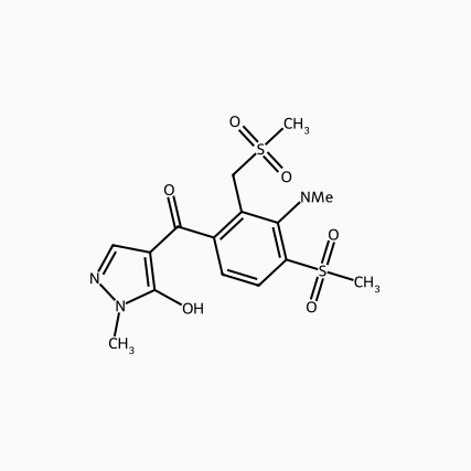 CNc1c(S(C)(=O)=O)ccc(C(=O)c2cnn(C)c2O)c1CS(C)(=O)=O